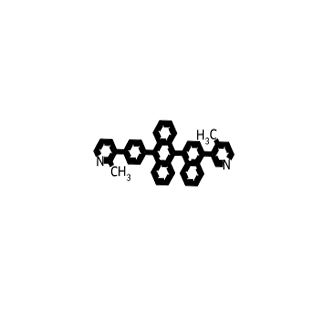 Cc1ccncc1-c1ccc(-c2c3ccccc3c(-c3ccc(-c4cccnc4C)cc3)c3ccccc23)c2ccccc12